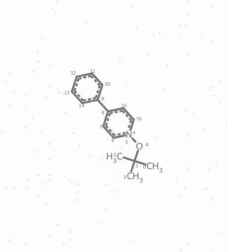 CC(C)(C)O[n+]1ccc(-c2ccccc2)cc1